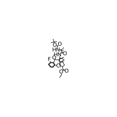 CCOC(=O)C1Cc2sc(NC(=O)[C@H](C)NC(=O)OC(C)(C)C)c(C(=O)c3c(F)cccc3Cl)c2C1